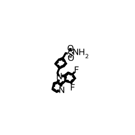 NS(=O)(=O)Cc1ccc(Cn2c3cccnc3c3c(F)cc(F)cc32)cc1